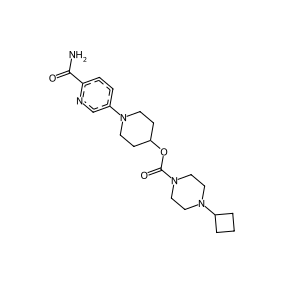 NC(=O)c1ccc(N2CCC(OC(=O)N3CCN(C4CCC4)CC3)CC2)cn1